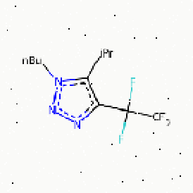 CCCCn1nnc(C(F)(F)C(F)(F)F)c1C(C)C